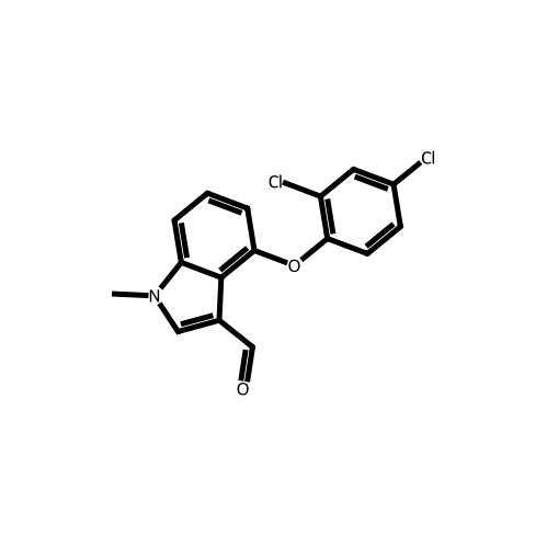 Cn1cc(C=O)c2c(Oc3ccc(Cl)cc3Cl)cccc21